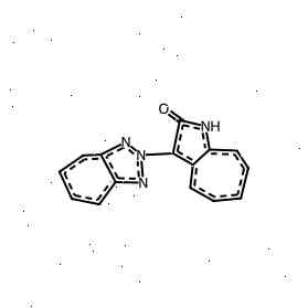 O=c1[nH]c2cccccc-2c1-n1nc2ccccc2n1